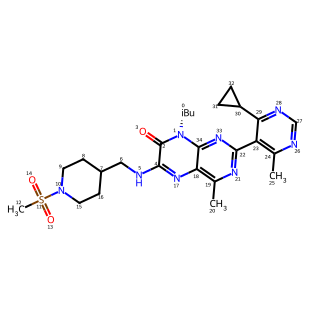 CC[C@@H](C)n1c(=O)c(NCC2CCN(S(C)(=O)=O)CC2)nc2c(C)nc(-c3c(C)ncnc3C3CC3)nc21